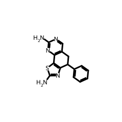 Nc1ncc2c(n1)-c1sc(N)nc1C(c1ccccc1)C2